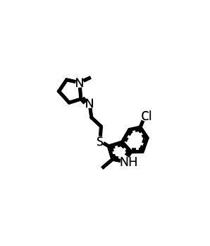 Cc1[nH]c2ccc(Cl)cc2c1SCC/N=C1\CCCN1C